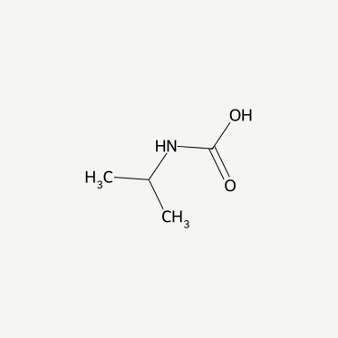 CC(C)NC(=O)O